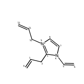 C=CCc1n(C=C)cc[n+]1CC=C